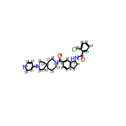 O=C(NC1CCc2ccc(C(=O)N3CCCC4(CC3)CCN(c3ccncc3)CC4)cc21)c1ccccc1Cl